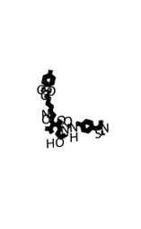 Cc1ccc(S(=O)(=O)OCCCc2cc(C(C(=O)C3C[C@H](O)CN3C(=O)NCc3ccc(-c4scnc4C)cc3)C(C)C)on2)cc1